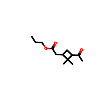 CCCOC(=O)CC1CC(C(C)=O)C1(C)C